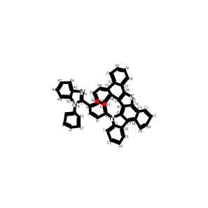 c1ccc(-n2c(-c3ccc(-n4c5ccccc5c5c6ccccc6c6sc7c8ccccc8c8ccccc8c7c6c54)cc3)nc3ccccc32)cc1